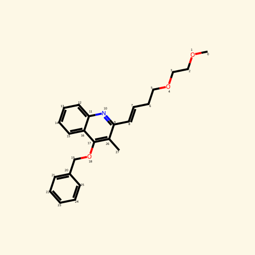 COCCOCCC=Cc1nc2ccccc2c(OCc2ccccc2)c1C